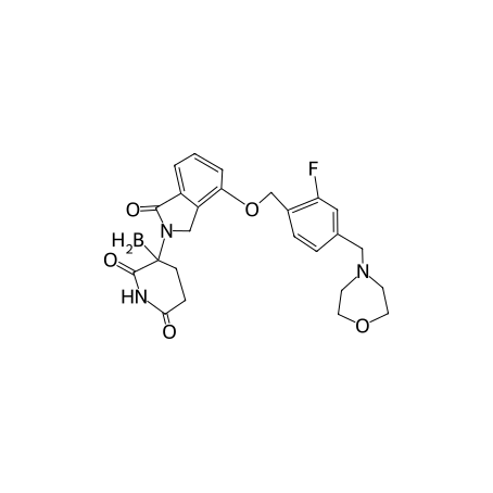 BC1(N2Cc3c(OCc4ccc(CN5CCOCC5)cc4F)cccc3C2=O)CCC(=O)NC1=O